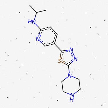 CC(C)Nc1ccc(-c2nnc(N3CCNCC3)s2)cn1